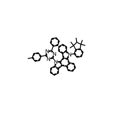 Cc1ccc(-c2nc(-c3ccccc3)nc(-n3c4ccccc4c4c5ccccc5c5c(c6ccccc6n5-c5cccc6c5C(C)(C)C(C)C6(C)C)c43)n2)cc1